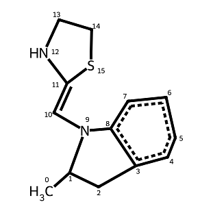 CC1Cc2ccccc2N1C=C1NCCS1